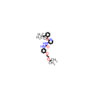 CC(C)OCCOc1cccc(NC(=O)Nc2cccnc2Oc2ccccc2C(C)(C)C)c1